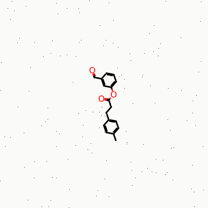 Cc1ccc(CCC(=O)Oc2cccc(C=O)c2)cc1